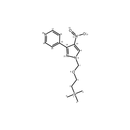 C[Si](C)(C)CCOCn1cc([N+](=O)[O-])c(-c2ccncc2)n1